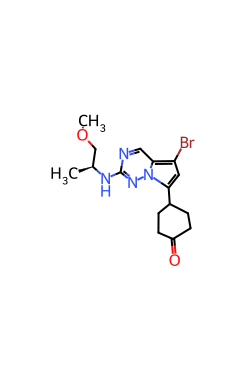 COC[C@H](C)Nc1ncc2c(Br)cc(C3CCC(=O)CC3)n2n1